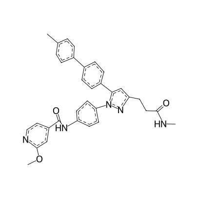 CNC(=O)CCc1cc(-c2ccc(-c3ccc(C)cc3)cc2)n(-c2ccc(NC(=O)c3ccnc(OC)c3)cc2)n1